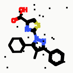 Cc1c(-c2ccccc2)nn(-c2nc(C(=O)O)cs2)c1C1=CCCCC1